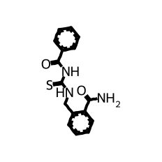 NC(=O)c1ccccc1CNC(=S)NC(=O)c1ccccc1